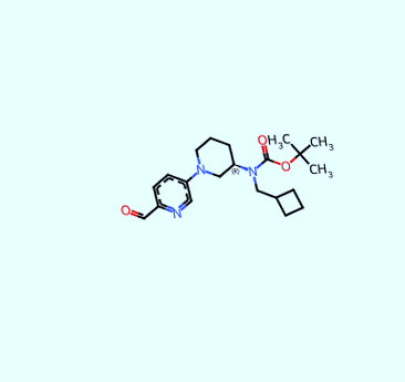 CC(C)(C)OC(=O)N(CC1CCC1)[C@@H]1CCCN(c2ccc(C=O)nc2)C1